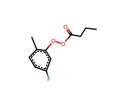 CCCC(=O)OOc1cc(F)ccc1C